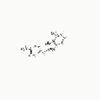 Nc1ccc(Oc2nc3ccnc(Cl)c3[nH]2)cc1